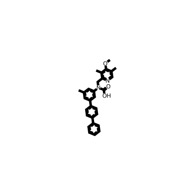 COc1c(C)cnc(CN(C(=O)O)c2cc(C)cc(-c3ccc(-c4ccccc4)cc3)c2)c1C